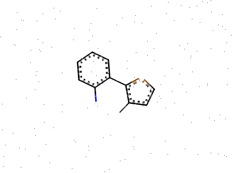 Nc1ccccc1-c1sccc1C(=O)O